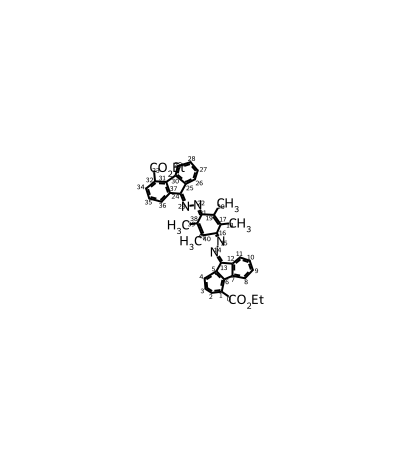 CCOC(=O)c1cccc2c1-c1ccccc1C2=NN=C1C(C)=C(C)C(=NN=C2c3ccccc3-c3c(C(=O)OCC)cccc32)C(C)=C1C